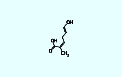 CC(=CCC=CO)C(=O)O